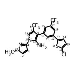 Cn1ccc(-n2nc(C(F)(F)F)c(-c3cc(-c4ccc(Cl)s4)cc(C(F)(F)F)c3)c2N)n1